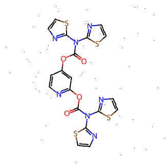 O=C(Oc1ccnc(OC(=O)N(c2nccs2)c2nccs2)c1)N(c1nccs1)c1nccs1